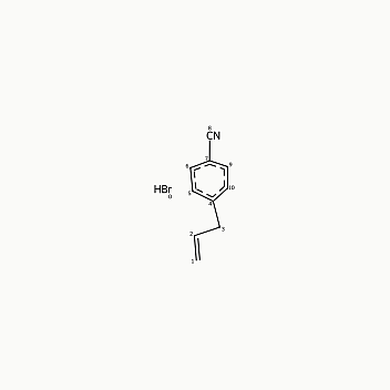 Br.C=CCc1ccc(C#N)cc1